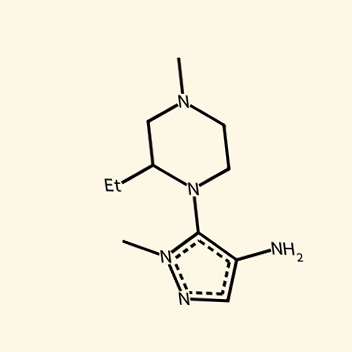 CCC1CN(C)CCN1c1c(N)cnn1C